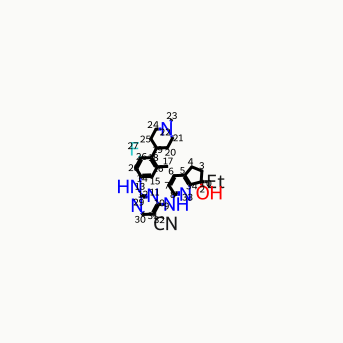 CCC1(O)CCc2ccc(Nc3nc(Nc4cc(C)c(C5CCN(C)CC5)c(F)c4)ncc3C#N)nc21